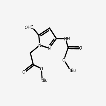 CC(C)(C)OC(=O)Cn1nc(NC(=O)OC(C)(C)C)cc1C=O